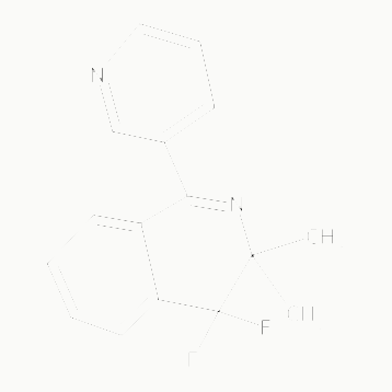 CC1(C)N=C(c2cccnc2)c2ccccc2C1(F)F